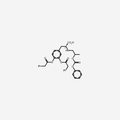 CC(C)CC(=O)Oc1ccc(C[C@H](NCC(C)OC(=O)Oc2ccccc2)C(=O)O)cc1OC(=O)CC(C)C